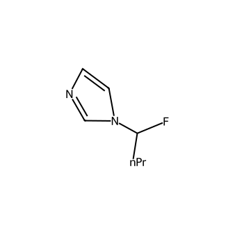 CCCC(F)n1ccnc1